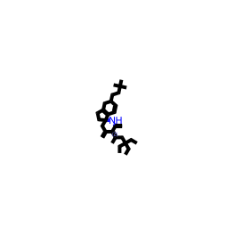 C=C1CC2(CCC3=C2C=CC(CCC(C)(C)C)C3)NC(=C)/C1=C(/C)CC(CC)(CC)CC